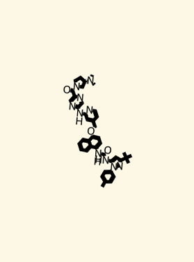 Cc1ccc(-n2nc(C(C)(C)C)cc2NC(=O)Nc2ccc(OCc3ccnc(Nc4cnc(C(=O)N5CC[C@H](N(C)C)C5)cn4)c3)c3ccccc23)cc1